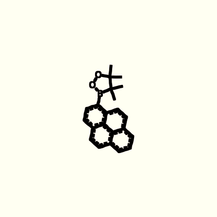 CC1(C)OOB(c2ccc3ccc4cccc5ccc2c3c45)C1(C)C